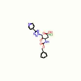 Cl.O=C(O)CC(NC(=O)OCc1ccccc1)C(=O)Cn1nnc(-c2ccncc2)n1